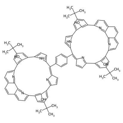 CC(C)(C)c1cc2c3nc(c(-c4ccc(-c5c6nc(c7cc(C(C)(C)C)cc(c7O)c7ccc8ccc9ccc(nc9c8n7)c7cc(C(C)(C)C)cc(c7O)c7ccc5[nH]7)C=C6)cc4)c4ccc([nH]4)c4cc(C(C)(C)C)cc(c4O)c4ccc5ccc6ccc(nc6c5n4)c(c1)c2O)C=C3